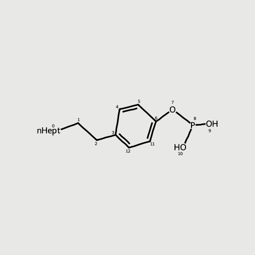 CCCCCCCCCc1ccc(OP(O)O)cc1